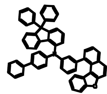 c1ccc(-c2ccc(N(c3cccc(-c4cccc5ccc6oc7ccccc7c6c45)c3)c3cccc4c3-c3ccccc3C4(c3ccccc3)c3ccccc3)cc2)cc1